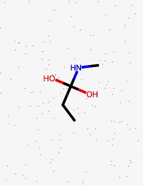 CCC(O)(O)NC